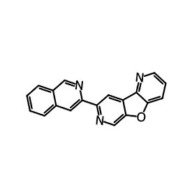 c1ccc2cc(-c3cc4c(cn3)oc3cccnc34)ncc2c1